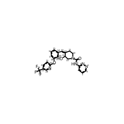 O=C(Nc1cccnn1)N1CC/C(=C/c2cccc(Oc3ccc(C(F)(F)F)cn3)c2)C(O)C1